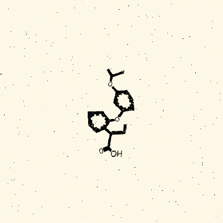 C/C=C(/C(=O)O)c1ccccc1Oc1cccc(OC(C)C)c1